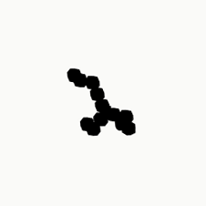 c1cc(-c2ccc(-c3ccc(N(c4ccc(-c5cccc6ccccc56)cc4)c4ccc(-c5cccc6c5oc5ccccc56)cc4)cc3)cc2)cc(-c2ccc3ccccc3c2)c1